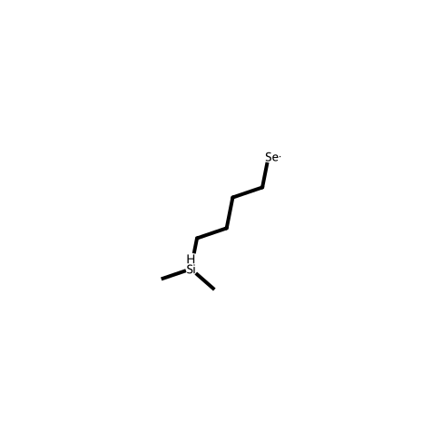 C[SiH](C)CCCC[Se]